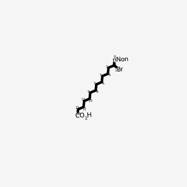 CCCCCCCCCC(Br)CCCCCCCCCCCC(=O)O